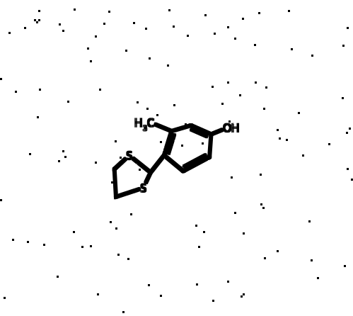 Cc1cc(O)ccc1C1SCCS1